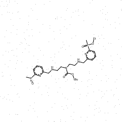 CCOP(C)(=O)c1cccc(CNCCN(CCNCc2cccc([PH](C)=O)n2)C(=O)OC(C)(C)C)n1